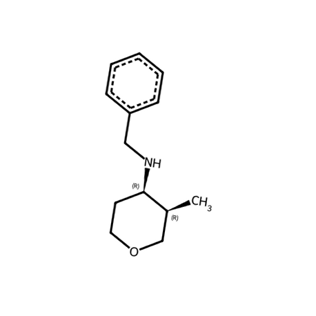 C[C@H]1COCC[C@H]1NCc1ccccc1